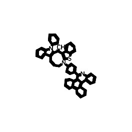 C=C1c2c(sc3ccccc23)N(c2ccc(-c3nc4ccccc4c4c5ccccc5c5ccccc5c34)cc2)C/C=C\c2c1n(-c1ccccc1)c1ccccc21